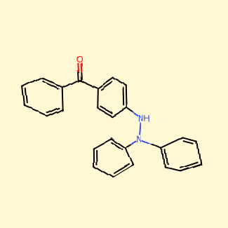 O=C(c1ccccc1)c1ccc(NN(c2ccccc2)c2ccccc2)cc1